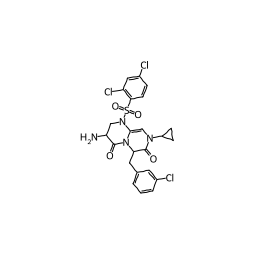 NC1CN(S(=O)(=O)c2ccc(Cl)cc2Cl)C2=CN(C3CC3)C(=O)C(Cc3cccc(Cl)c3)N2C1=O